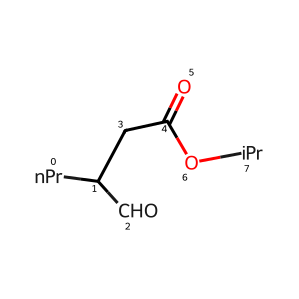 CCCC(C=O)CC(=O)OC(C)C